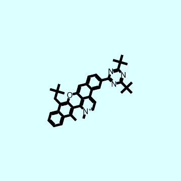 Cc1c2c(c(CC(C)(C)C)c3ccccc13)Oc1cc3ccc(-c4nc(C(C)(C)C)nc(C(C)(C)C)n4)cc3c3cc[n+](C)c-2c13